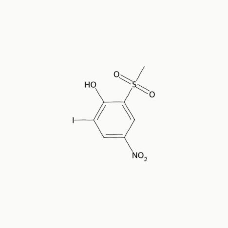 CS(=O)(=O)c1cc([N+](=O)[O-])cc(I)c1O